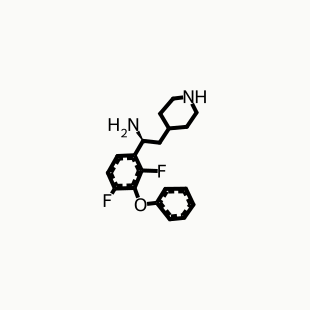 N[C@@H](CC1CCNCC1)c1ccc(F)c(Oc2ccccc2)c1F